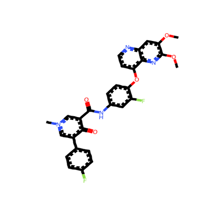 COc1cc2nccc(Oc3ccc(NC(=O)c4cn(C)cc(-c5ccc(F)cc5)c4=O)cc3F)c2nc1OC